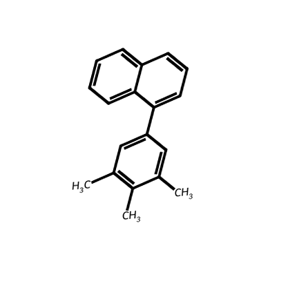 Cc1cc(-c2cccc3ccccc23)cc(C)c1C